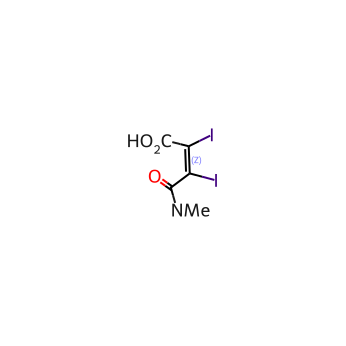 CNC(=O)/C(I)=C(/I)C(=O)O